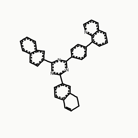 C1=Cc2ccc(-c3nc(-c4ccc(-c5cccc6cccnc56)cc4)nc(-c4ccc5ccccc5c4)n3)cc2CC1